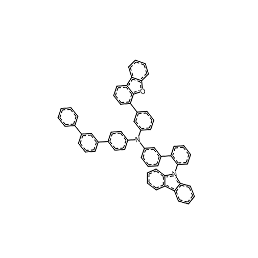 c1ccc(-c2cccc(-c3ccc(N(c4cccc(-c5ccccc5-n5c6ccccc6c6ccccc65)c4)c4cccc(-c5cccc6c5oc5ccccc56)c4)cc3)c2)cc1